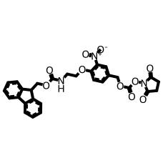 O=C(NCCOc1ccc(COC(=O)ON2C(=O)CCC2=O)cc1[N+](=O)[O-])OCC1c2ccccc2-c2ccccc21